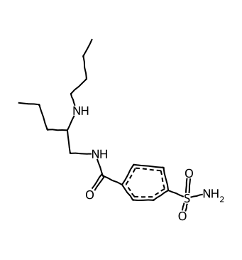 CCCCNC(CCC)CNC(=O)c1ccc(S(N)(=O)=O)cc1